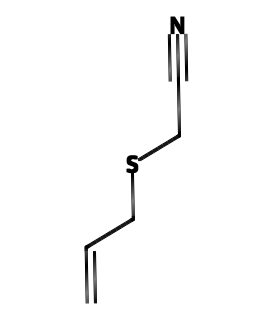 C=CCSCC#N